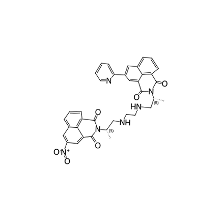 C[C@H](CNCCNC[C@H](C)N1C(=O)c2cccc3cc([N+](=O)[O-])cc(c23)C1=O)N1C(=O)c2cccc3cc(-c4ccccn4)cc(c23)C1=O